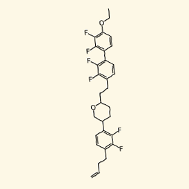 C=CCCc1ccc(C2CCC(CCc3ccc(-c4ccc(OCC)c(F)c4F)c(F)c3F)OC2)c(F)c1F